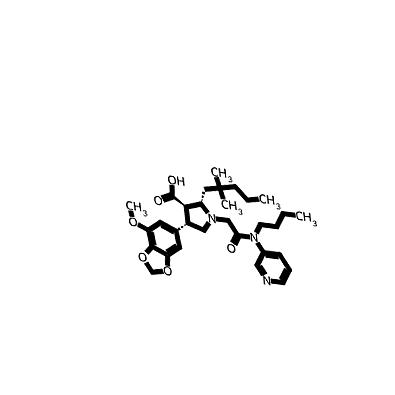 CCCCN(C(=O)CN1C[C@H](c2cc(OC)c3c(c2)OCO3)[C@@H](C(=O)O)[C@@H]1CC(C)(C)CCC)c1cccnc1